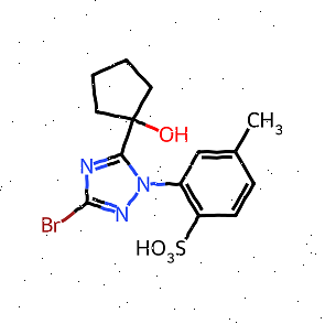 Cc1ccc(S(=O)(=O)O)c(-n2nc(Br)nc2C2(O)CCCC2)c1